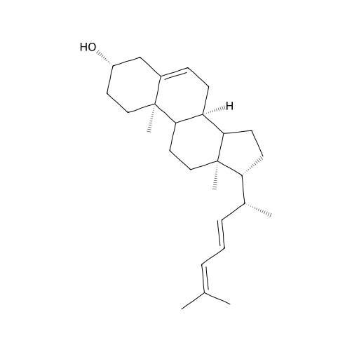 CC(C)=C/C=C/[C@@H](C)[C@H]1CCC2[C@@H]3CC=C4C[C@@H](O)CC[C@]4(C)C3CC[C@@]21C